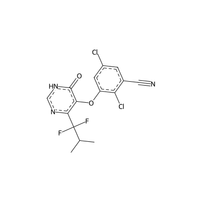 CC(C)C(F)(F)c1nc[nH]c(=O)c1Oc1cc(Cl)cc(C#N)c1Cl